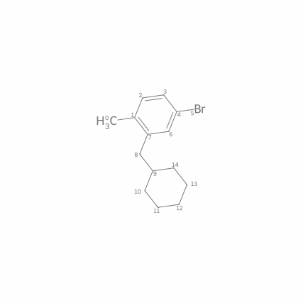 Cc1ccc(Br)cc1CC1CCCCC1